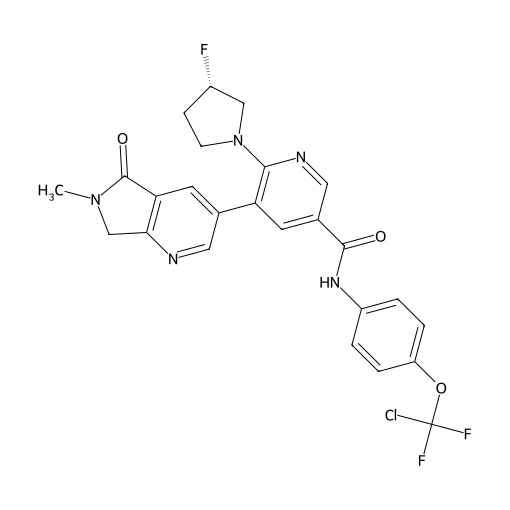 CN1Cc2ncc(-c3cc(C(=O)Nc4ccc(OC(F)(F)Cl)cc4)cnc3N3CC[C@H](F)C3)cc2C1=O